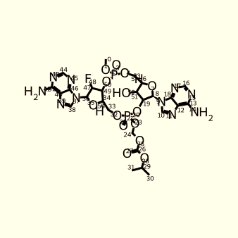 COP1(=O)OC[C@H]2O[C@@H](n3cnc4c(N)ncnc43)C(OP(=O)(OCOC(=O)OC(C)C)OC[C@H]3OC(n4cnc5c(N)ncnc54)C(F)C3O1)C2O